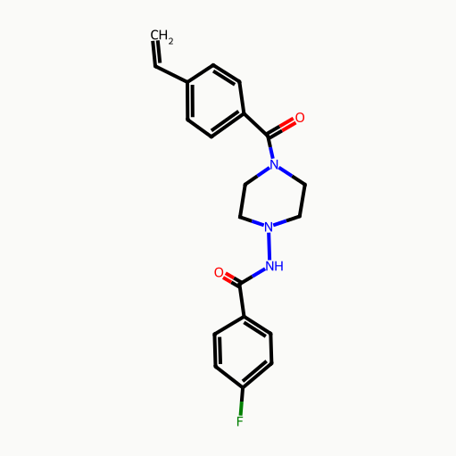 C=Cc1ccc(C(=O)N2CCN(NC(=O)c3ccc(F)cc3)CC2)cc1